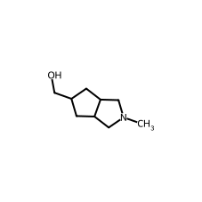 CN1CC2CC(CO)CC2C1